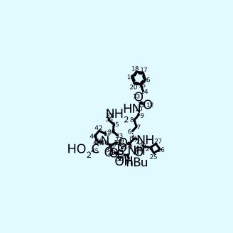 CCCCC(NC(=O)[C@H](CCCCNC(=O)OCc1ccccc1)NC(=O)C1CCC1)P(=O)(O)O[C@@H](CCCCN)C(=O)N1CCC[C@H]1C(=O)O